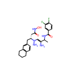 CC(NC(=O)c1ccc(F)c(F)c1)/C(N)=C/N(N)[C@@H](CC(=O)NO)Cc1ccc2c(c1)CCCC2